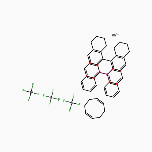 C1=C\CC/C=C\CC/1.F[B-](F)(F)F.F[B-](F)(F)F.F[B-](F)(F)F.[Rh+3].c1ccc(P(c2ccccc2)c2ccc3c(c2-c2c(P(c4ccccc4)c4ccccc4)ccc4c2CCCC4)CCCC3)cc1